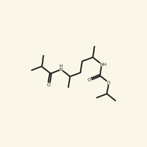 CC(CCC(C)NC(=O)C(C)C)NC(=O)OC(C)C